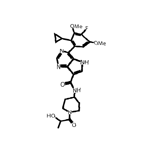 COc1cc(-c2ncnc3c(C(=O)NC4CCN(C(=O)C(C)O)CC4)c[nH]c23)c(C2CC2)c(OC)c1F